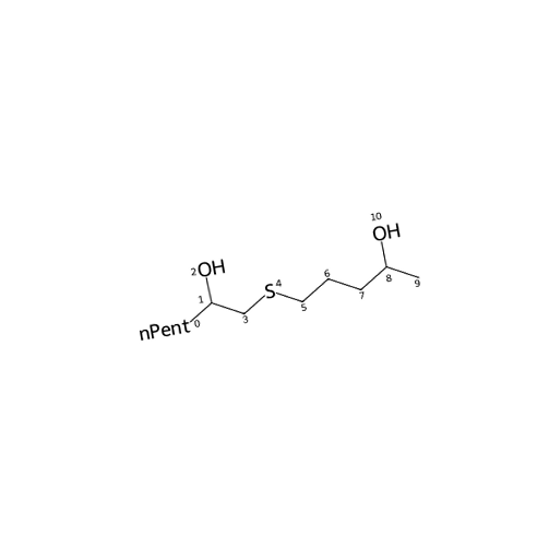 CCCCCC(O)CSCCCC(C)O